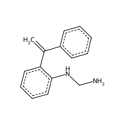 C=C(c1ccccc1)c1ccccc1NCN